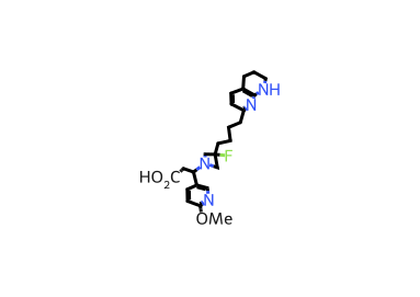 COc1ccc(C(CC(=O)O)N2CC(F)(CCCCc3ccc4c(n3)NCCC4)C2)cn1